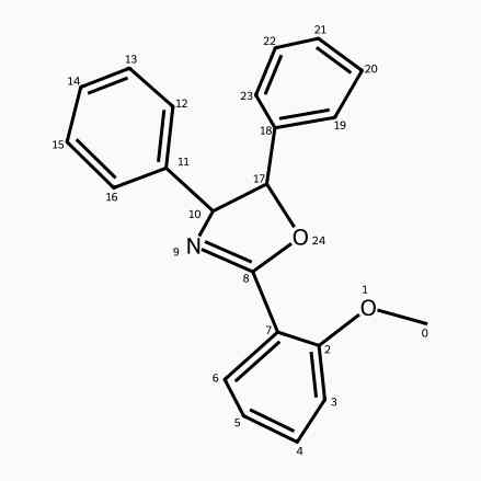 COc1ccccc1C1=NC(c2ccccc2)C(c2ccccc2)O1